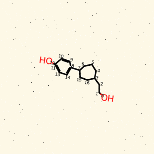 OCCC1CCCC(c2ccc(O)cc2)CC1